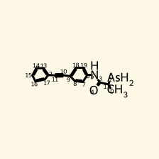 CC([AsH2])C(=O)Nc1ccc(C#Cc2ccccc2)cc1